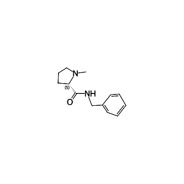 CN1CCC[C@H]1C(=O)NCc1ccccc1